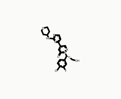 O=c1cc(-c2ccnc(NC3CCOCC3)n2)cnn1[C@H](CCO)c1ccc(Cl)c(F)c1